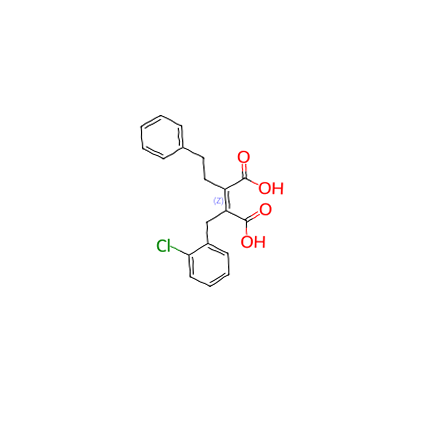 O=C(O)/C(CCc1ccccc1)=C(/Cc1ccccc1Cl)C(=O)O